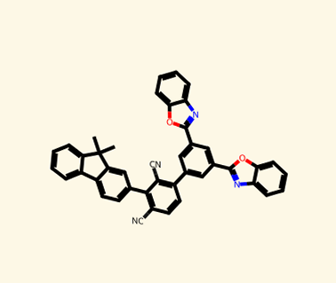 CC1(C)c2ccccc2-c2ccc(-c3c(C#N)ccc(-c4cc(-c5nc6ccccc6o5)cc(-c5nc6ccccc6o5)c4)c3C#N)cc21